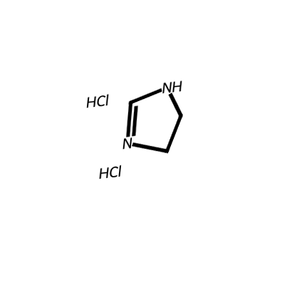 C1=NCCN1.Cl.Cl